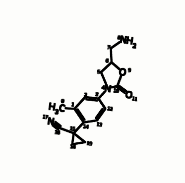 Cc1cc(N2CC(CN)OC2=O)ccc1C1(C#N)CC1